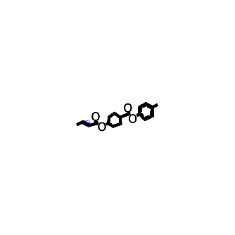 C/C=C/C(=O)OC1CCC(C(=O)Oc2ccc(C)cc2)CC1